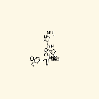 COc1ccc(CCNc2ncc3n(c2=O)[C@H](C(=O)NCc2ccc(N)nc2C)CC3)cc1OC.Cl.Cl.O